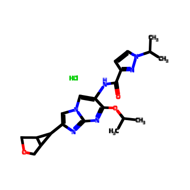 CC(C)Oc1nc2nc(C3C4COCC43)cn2cc1NC(=O)c1ccn(C(C)C)n1.Cl